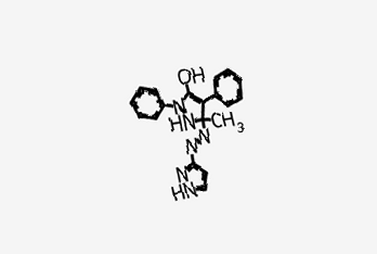 CC1(N=Nc2cc[nH]n2)NN(c2ccccc2)C(O)=C1c1ccccc1